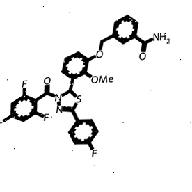 COc1c(OCc2cccc(C(N)=O)c2)cccc1C1SC(c2ccc(F)cc2)=NN1C(=O)c1c(F)cc(F)cc1F